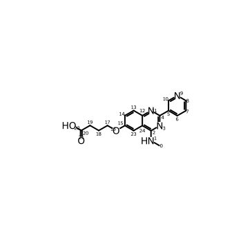 CNc1nc(-c2cccnc2)nc2ccc(OCCCC(=O)O)cc12